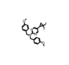 COc1ccc(CN(Cc2ccc(OC)cc2)c2ncc(C3CC3(F)F)cn2)cc1